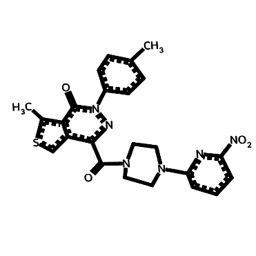 Cc1ccc(-n2nc(C(=O)N3CCN(c4cccc([N+](=O)[O-])n4)CC3)c3csc(C)c3c2=O)cc1